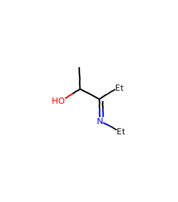 CC/N=C(\CC)C(C)O